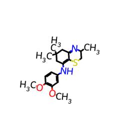 COc1ccc(NC2=C3SCC(C)N=C3CC(C)(C)C2)cc1OC